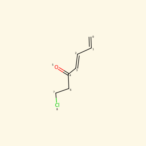 C=CC=CC(=O)CCCl